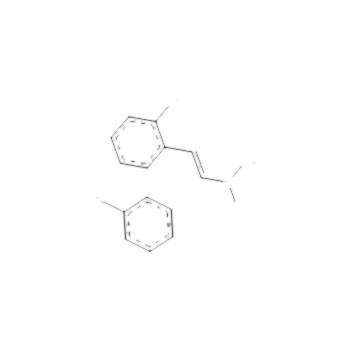 CCOC(=O)N(C=Cc1ccccc1O)C(C)(C)C.Nc1ccccc1